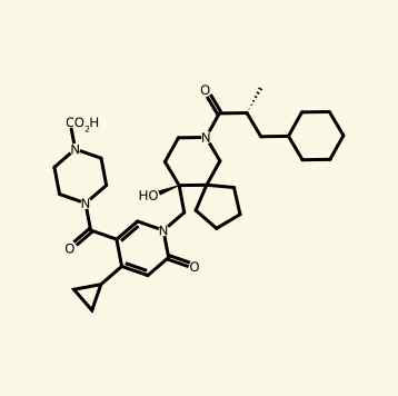 C[C@H](CC1CCCCC1)C(=O)N1CC[C@@](O)(Cn2cc(C(=O)N3CCN(C(=O)O)CC3)c(C3CC3)cc2=O)C2(CCCC2)C1